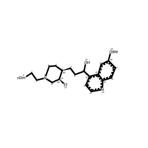 CCCCCCCCCCCCN1CC[C@@H](CCC(O)c2ccnc3ccc(OC)cc23)[C@@H](CC)C1